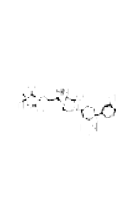 CC1(C)NC(=O)N(CCc2nnc3n2CCN([C@H]2CC[C@](CN)(c4cccc(Cl)c4)CC2)C3=O)C1=O